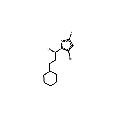 OC(CCC1CCCCC1)c1sc(F)cc1Br